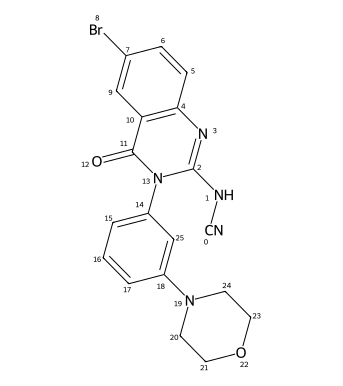 N#CNc1nc2ccc(Br)cc2c(=O)n1-c1cccc(N2CCOCC2)c1